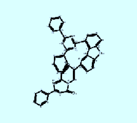 O=c1nc(-c2ccccc2)nc2ccc(-c3ccc4oc5cccc(-c6nc(-c7ccccc7)nc(-c7ccccc7)n6)c5c4c3)cn12